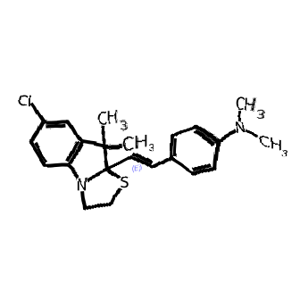 CN(C)c1ccc(/C=C/C23SCCN2c2ccc(Cl)cc2C3(C)C)cc1